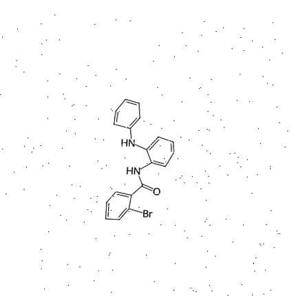 O=C(Nc1ccccc1Nc1ccccc1)c1ccccc1Br